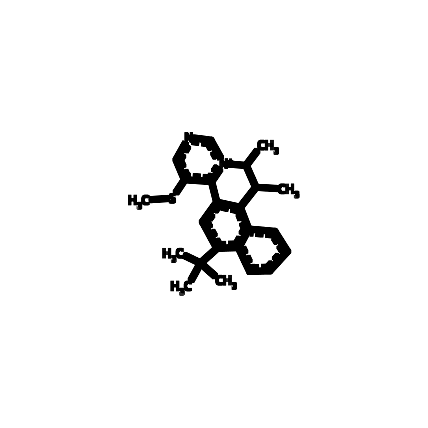 CSc1cnc[n+]2c1-c1cc(C(C)(C)C)c3ccccc3c1C(C)C2C